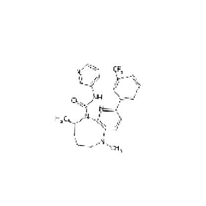 C[C@@H]1CCCN(C)c2ccc(-c3cccc(C(F)(F)F)c3)nc2N1C(=O)Nc1cccnc1